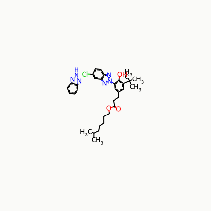 CC(C)CCCCCOC(=O)CCc1cc(-n2nc3ccc(Cl)cc3n2)c(O)c(C(C)(C)C)c1.c1ccc2n[nH]nc2c1